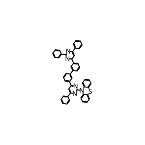 c1ccc(-c2cc(-c3cccc(-c4cccc(-c5cc(-c6ccccc6)nc(N6c7ccccc7Sc7ccccc76)n5)c4)c3)nc(-c3ccccc3)n2)cc1